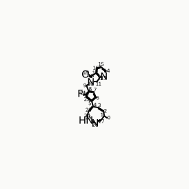 CC1/C=C\C(c2ccc(CN3Cc4ncccc4C3=O)c(F)c2)=C/CN/N=C\1